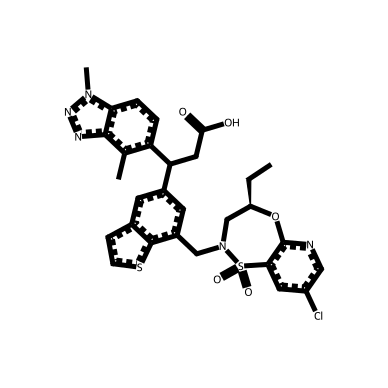 CC[C@@H]1CN(Cc2cc(C(CC(=O)O)c3ccc4c(nnn4C)c3C)cc3ccsc23)S(=O)(=O)c2cc(Cl)cnc2O1